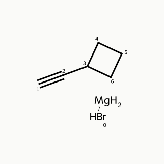 Br.C#CC1CCC1.[MgH2]